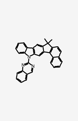 CC1(C)c2cc3c4ccccc4n(-c4ncc5ccccc5n4)c3cc2-c2c1ccc1ccccc21